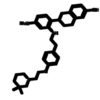 COc1ccc(C2CCc3cc(O)ccc3C2)c(NCCc2ccc(OCCN3CCCC(C)(C)C3)cc2)c1